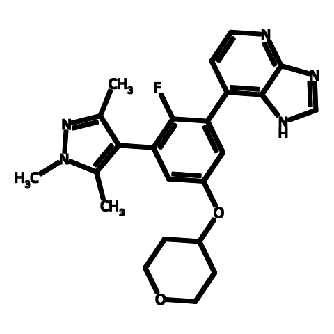 Cc1nn(C)c(C)c1-c1cc(OC2CCOCC2)cc(-c2ccnc3nc[nH]c23)c1F